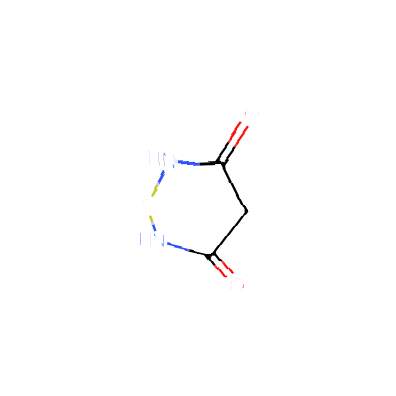 O=C1CC(=O)NSN1